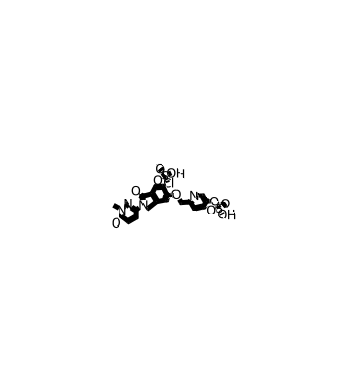 Cn1nc(N2Cc3cc(OCc4ccc(OS(=O)(=O)O)cn4)ccc3C2=O)ccc1=O.O=S(=O)(O)Cl